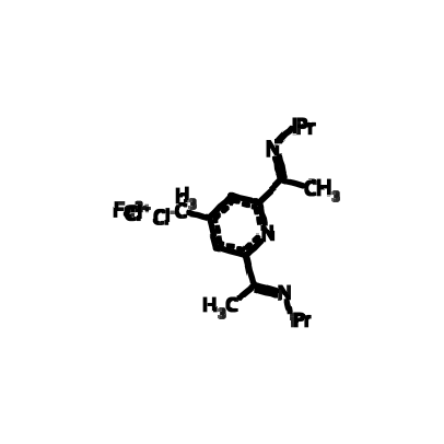 CC(=NC(C)C)c1cc(C)cc(C(C)=NC(C)C)n1.[Cl-].[Cl-].[Fe+2]